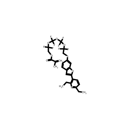 C=C(C)C(=O)OCC(F)(F)OC(F)(F)OC(F)(F)OC(F)(F)CSc1ccc2cc(-c3ccc(CC)nc3CC)oc2c1